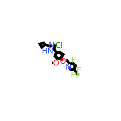 COc1cc(-c2[nH]c(C3CCC3)nc2Cl)ccc1OCc1ncc(C(F)(F)F)cc1F